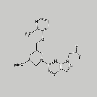 COC1CC(COc2cccnc2C(F)(F)F)CN(c2cnc3cnn(CC(F)F)c3n2)C1